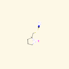 N#CSCC1CCC[N+]1=O